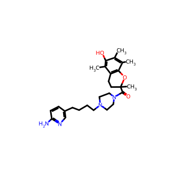 Cc1c(C)c2c(c(C)c1O)CCC(C)(C(=O)N1CCN(CCCCc3ccc(N)nc3)CC1)O2